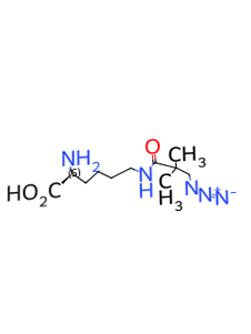 CC(C)(CN=[N+]=[N-])C(=O)NCCCC[C@H](N)C(=O)O